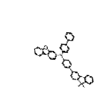 CC1(C)c2ccccc2-c2cc(-c3ccc(N(c4ccc(-c5ccccc5)cc4)c4ccc5c(c4)oc4ccccc45)cc3)ccc21